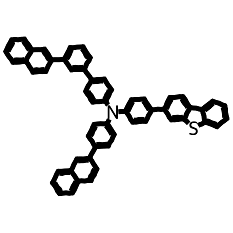 c1cc(-c2ccc(N(c3ccc(-c4ccc5ccccc5c4)cc3)c3ccc(-c4ccc5c(c4)sc4ccccc45)cc3)cc2)cc(-c2ccc3ccccc3c2)c1